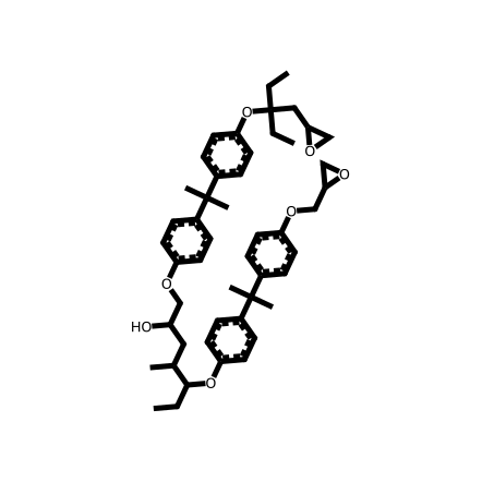 CCC(Oc1ccc(C(C)(C)c2ccc(OCC3CO3)cc2)cc1)C(C)CC(O)COc1ccc(C(C)(C)c2ccc(OC(CC)(CC)CC3CO3)cc2)cc1